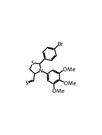 COc1cc(N2C(C=S)CSC2c2ccc(Br)cc2)cc(OC)c1OC